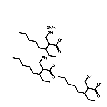 CCCCCC(CC)C(CS)C(=O)[O-].CCCCCC(CC)C(CS)C(=O)[O-].CCCCCC(CC)C(CS)C(=O)[O-].[Sb+3]